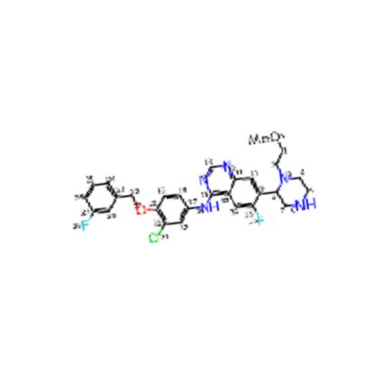 COCCN1CCNCC1c1cc2ncnc(Nc3ccc(OCc4cccc(F)c4)c(Cl)c3)c2cc1F